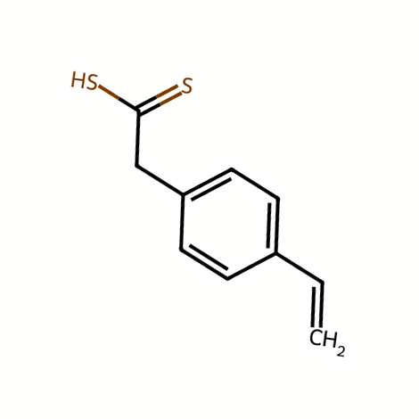 C=Cc1ccc(CC(=S)S)cc1